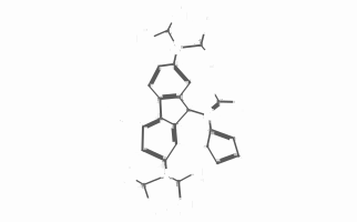 C[C](C)=[Zr+2]([C]1=CC=CC1)[CH]1c2cc(N(C(C)C)C(C)C)ccc2-c2ccc(N(C(C)C)C(C)C)cc21.[Cl-].[Cl-]